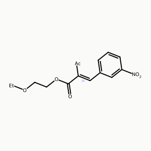 CCOCCOC(=O)/C(=C/c1cccc([N+](=O)[O-])c1)C(C)=O